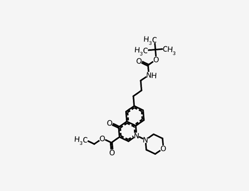 CCOC(=O)c1cn(N2CCOCC2)c2ccc(CCCNC(=O)OC(C)(C)C)cc2c1=O